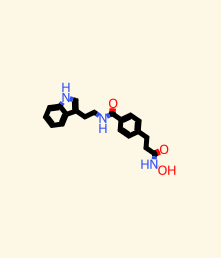 O=C(CCc1ccc(C(=O)NCCc2c[nH]c3ccccc23)cc1)NO